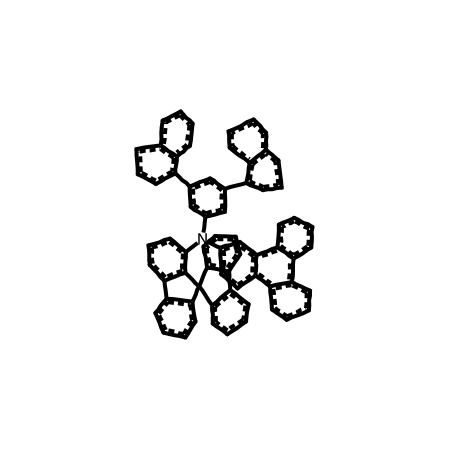 c1ccc2c(c1)-c1ccccc1C21c2ccccc2-c2cccc(N(c3cc(-c4cccc5ccccc45)cc(-c4cccc5ccccc45)c3)c3ccc4c5ccccc5c5ccccc5c4c3)c21